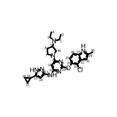 CCN(CC)C1CCN(c2cc(Nc3cc(C4CC4)[nH]n3)nc(Oc3ccc4[nH]c(C)cc4c3Cl)n2)C1